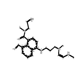 CN/C=C\N(C)CCCNc1ccc(C(=O)N(C)CCS)c2c(C=O)cccc12